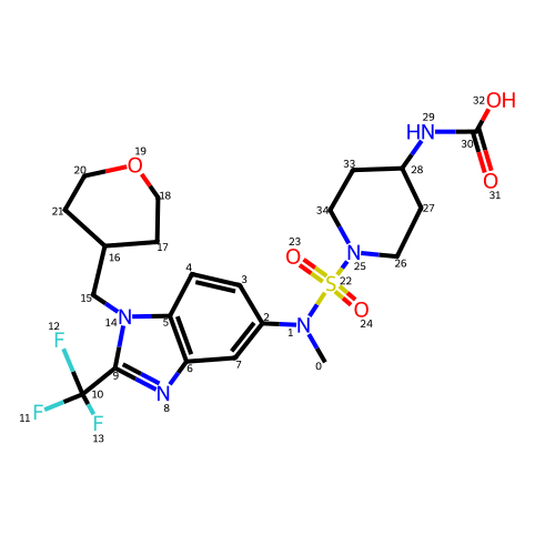 CN(c1ccc2c(c1)nc(C(F)(F)F)n2CC1CCOCC1)S(=O)(=O)N1CCC(NC(=O)O)CC1